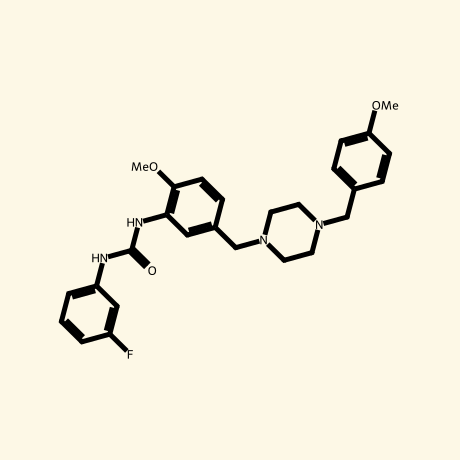 COc1ccc(CN2CCN(Cc3ccc(OC)c(NC(=O)Nc4cccc(F)c4)c3)CC2)cc1